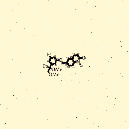 CCC(COC)(OC)c1cc(F)cc(OCc2ccc3c(ccc(=O)n3C)c2)c1